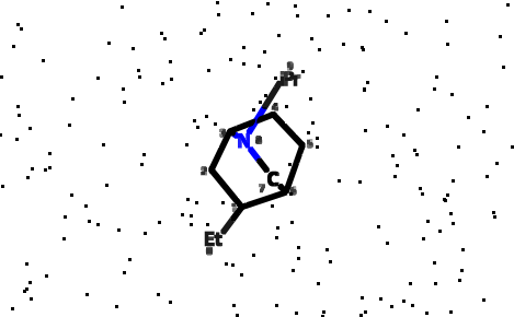 CCC1CC2CCC1CN2C(C)C